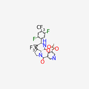 CS(=O)(=O)c1cncc(C(=O)N2CC[C@@H](C(F)(F)F)[C@@H]2C(=O)NC(c2cc(F)c(C(F)(F)F)cc2F)C2CC2)c1